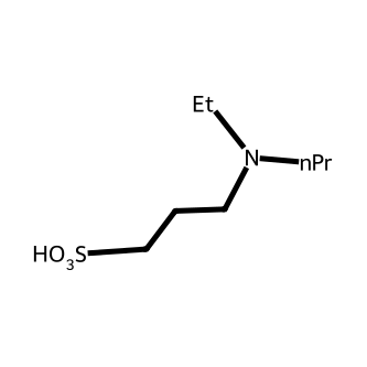 CCCN(CC)CCCS(=O)(=O)O